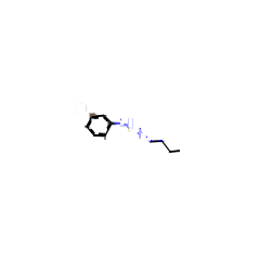 CCCCNSNc1cccc(Br)c1